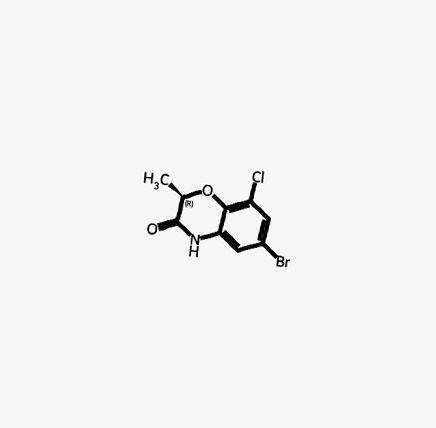 C[C@H]1Oc2c(Cl)cc(Br)cc2NC1=O